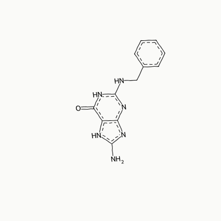 Nc1nc2nc(NCc3ccccc3)[nH]c(=O)c2[nH]1